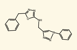 c1ccc(Cc2nnc(NCc3cn(-c4ccccc4)nn3)o2)cc1